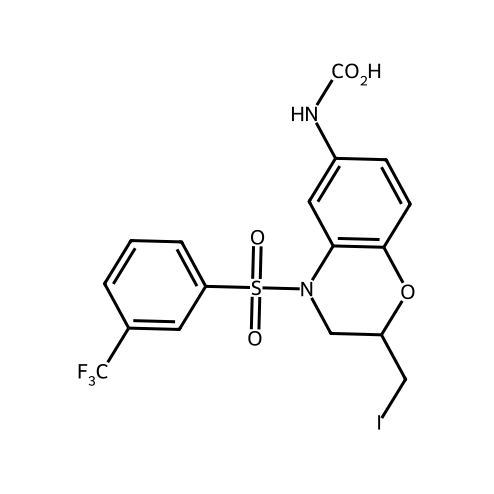 O=C(O)Nc1ccc2c(c1)N(S(=O)(=O)c1cccc(C(F)(F)F)c1)CC(CI)O2